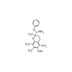 CC(=O)Oc1c(C)c(C)c2c(c1C)CCC(C)(C(N)Oc1ccccc1)O2